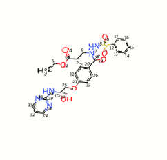 CCOC(=O)CCN(NS(=O)(=O)c1ccccc1)C(=O)c1ccc(OC[C@H](O)Nc2ncccn2)cc1